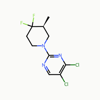 C[C@H]1CN(c2ncc(Cl)c(Cl)n2)CCC1(F)F